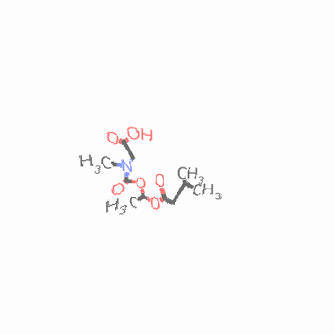 CC(C)CC(=O)OC(C)OC(=O)N(C)CC(=O)O